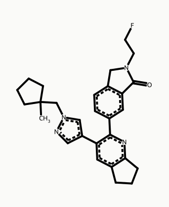 CC1(Cn2cc(-c3cc4c(nc3-c3ccc5c(c3)C(=O)N(CCF)C5)CCC4)cn2)CCCC1